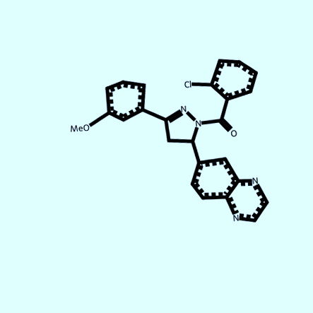 COc1cccc(C2=NN(C(=O)c3ccccc3Cl)C(c3ccc4nccnc4c3)C2)c1